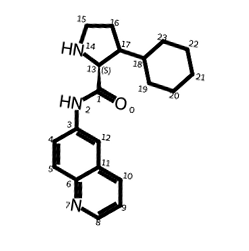 O=C(Nc1ccc2ncccc2c1)[C@H]1NCCC1C1CCCCC1